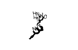 CC#Cc1cnc2c(ccn2CC[C@]2(C)CC(=O)N(C)C(=N)N2)c1